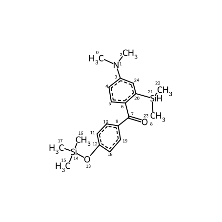 CN(C)c1ccc(C(=O)c2ccc(O[Si](C)(C)C)cc2)c([SiH](C)C)c1